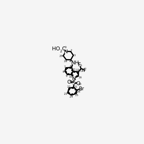 O=C(O)N1CCC(Nc2cccc3c2c(C(F)F)cn3S(=O)(=O)c2ccccc2Br)CC1